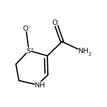 NC(=O)C1=CNCC[S+]1[O-]